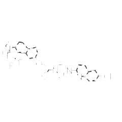 Cc1ccc2nc(N3CCN(C(=O)COc4ccc5ccc([N+](=O)[O-])c(C(F)(F)F)c5c4)CC3)ccc2c1